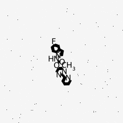 Cc1nc(-c2ccccn2)ncc1OC(=O)Nn1ccc2cc(F)ccc21